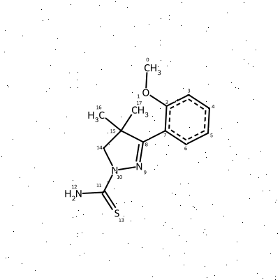 COc1ccccc1C1=NN(C(N)=S)CC1(C)C